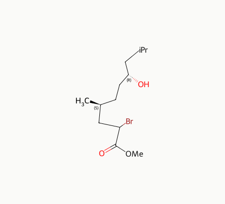 COC(=O)C(Br)C[C@@H](C)CC[C@@H](O)CC(C)C